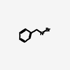 Br[N]Cc1ccccc1